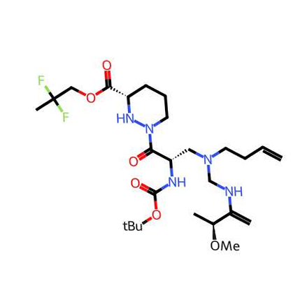 C=CCCN(CNC(=C)[C@H](C)OC)C[C@H](NC(=O)OC(C)(C)C)C(=O)N1CCC[C@@H](C(=O)OCC(C)(F)F)N1